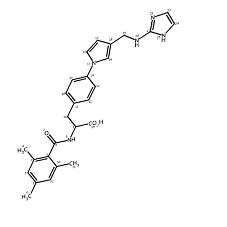 Cc1cc(C)c(C(=O)NC(Cc2ccc(-n3ccc(CNc4ncc[nH]4)c3)cc2)C(=O)O)c(C)c1